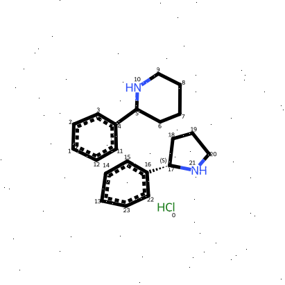 Cl.c1ccc(C2CCCCN2)cc1.c1ccc([C@@H]2CCCN2)cc1